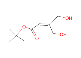 CC(C)(C)OC(=O)C=C(CO)CO